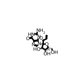 C=CC(=O)[C@@]1(n2cnc3c(=O)[nH]c(N)nc32)O[C@H](CO)[C@@H](O)[C@H]1O